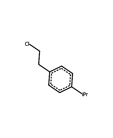 CC(C)c1ccc(CCCl)cc1